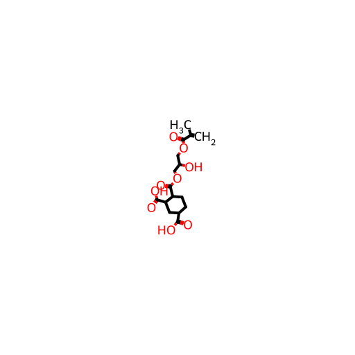 C=C(C)C(=O)OCC(O)COC(=O)C1CCC(C(=O)O)CC1C(=O)O